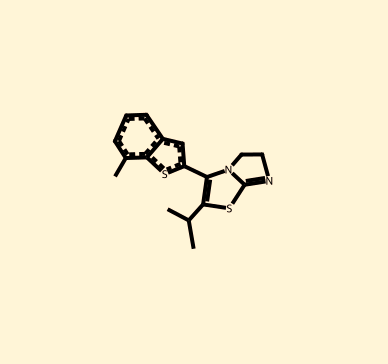 Cc1cccc2cc(C3=C(C(C)C)SC4=NCCN43)sc12